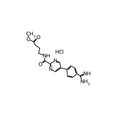 COC(=O)CCCNC(=O)c1ncc(-c2ccc(C(=N)N)cc2)cn1.Cl